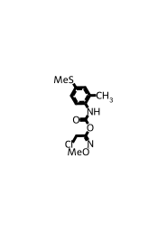 CO/N=C(\CCl)OC(=O)Nc1ccc(SC)cc1C